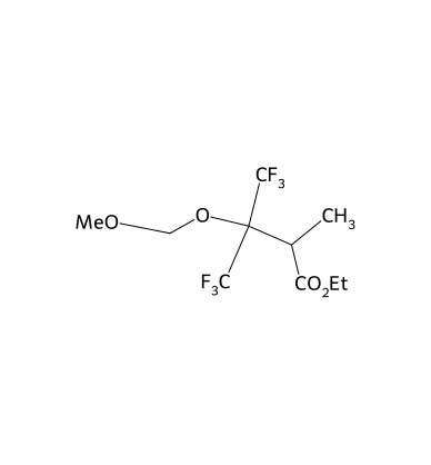 CCOC(=O)C(C)C(OCOC)(C(F)(F)F)C(F)(F)F